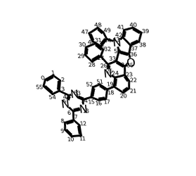 c1ccc(-c2nc(-c3ccccc3)nc(-c3ccc(-c4cccc5c4nc(-c4ccccc4)c4c5oc5c6ccccc6n(-c6ccccc6)c54)cc3)n2)cc1